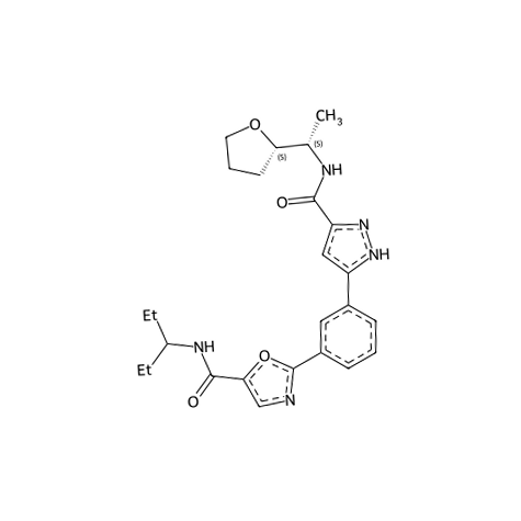 CCC(CC)NC(=O)c1cnc(-c2cccc(-c3cc(C(=O)N[C@@H](C)[C@@H]4CCCO4)n[nH]3)c2)o1